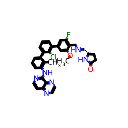 COc1cc(-c2cccc(-c3cccc(Nc4nccc5nccnc45)c3C)c2Cl)cc(F)c1CNC[C@@H]1CCC(=O)N1